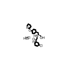 Cl.Cl.OC[C@H](Cc1ccc(Oc2ccccn2)cc1)NC[C@@H](O)c1cccc(Cl)c1